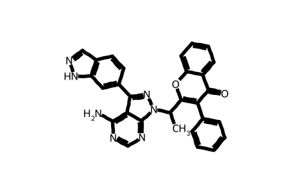 CC(c1oc2ccccc2c(=O)c1-c1ccccc1)n1nc(-c2ccc3cn[nH]c3c2)c2c(N)ncnc21